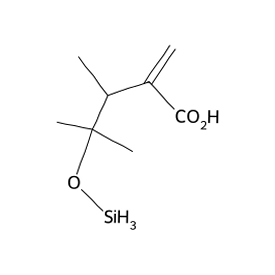 C=C(C(=O)O)C(C)C(C)(C)O[SiH3]